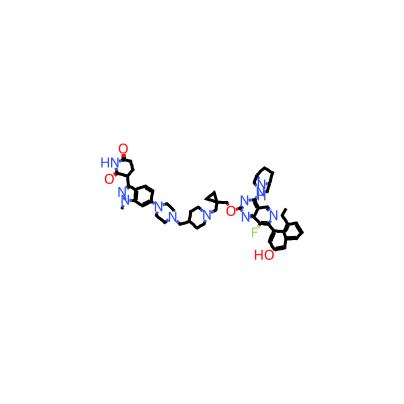 CCc1cccc2cc(O)cc(-c3ncc4c(N5CC6CCC(C5)N6)nc(OCC5(CN6CCC(CN7CCN(c8ccc9c(C%10CCC(=O)NC%10=O)nn(C)c9c8)CC7)CC6)CC5)nc4c3F)c12